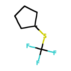 FC(F)(F)S[C]1CCCC1